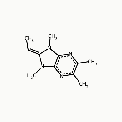 CC=C1N(C)c2nc(C)c(C)nc2N1C